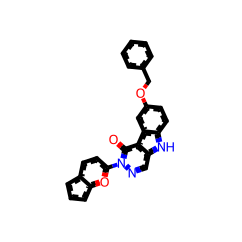 O=c1c2c(cnn1-c1ccc3cccc-3o1)[nH]c1ccc(OCc3ccccc3)cc12